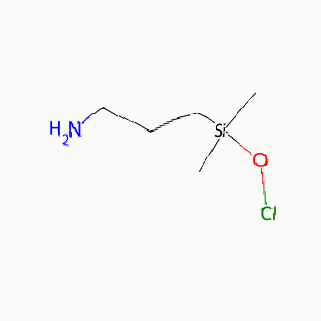 C[Si](C)(CCCN)OCl